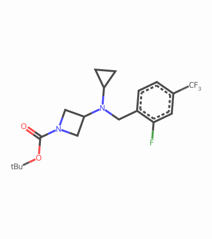 CC(C)(C)OC(=O)N1CC(N(Cc2ccc(C(F)(F)F)cc2F)C2CC2)C1